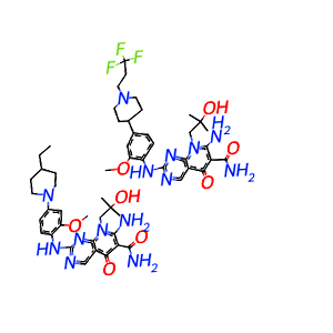 CCC1CCN(c2ccc(Nc3ncc4c(=O)c(C(N)=O)c(N)n(CC(C)(C)O)c4n3)c(OC)c2)CC1.COc1cc(C2CCN(CCC(F)(F)F)CC2)ccc1Nc1ncc2c(=O)c(C(N)=O)c(N)n(CC(C)(C)O)c2n1